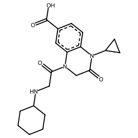 O=C(O)c1ccc2c(c1)N(C(=O)CNC1CCCCC1)CC(=O)N2C1CC1